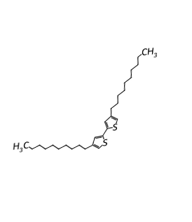 CCCCCCCCCCc1csc(-c2cc(CCCCCCCCCC)cs2)c1